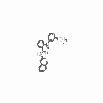 CN(c1ccnc(C(=O)O)c1)c1ccccc1C(=O)Nc1cc2ccccc2cn1